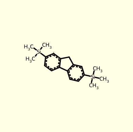 C[Si](C)(C)c1[c]c2c(cc1)-c1ccc([Si](C)(C)C)cc1C2